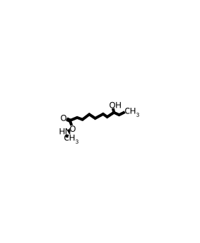 CCC(O)CCCCCCC(=O)ONC